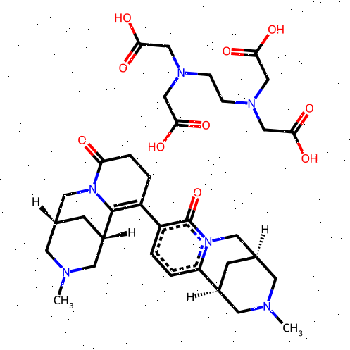 CN1C[C@H]2C[C@@H](C1)C1=C(c3ccc4n(c3=O)C[C@@H]3C[C@H]4CN(C)C3)CCC(=O)N1C2.O=C(O)CN(CCN(CC(=O)O)CC(=O)O)CC(=O)O